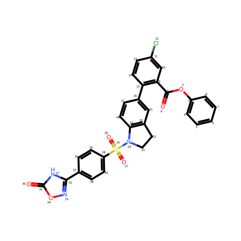 O=C(Oc1ccccc1)c1cc(Cl)ccc1-c1ccc2c(c1)CCN2S(=O)(=O)c1ccc(-c2noc(=O)[nH]2)cc1